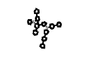 c1ccc(-c2ccc(-c3ccc(N(c4ccc(-c5ccccc5)cc4)c4cccc(-c5cc(-c6ccccc6)cc6c5c5ccc(-c7ccccc7)cc5n6-c5ccccc5)c4)cc3)cc2)cc1